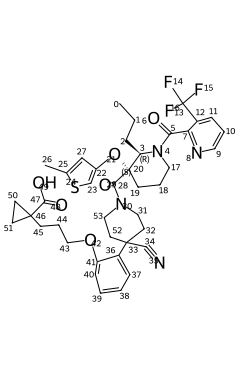 CCC[C@H]1N(C(=O)c2ncccc2C(F)(F)F)CCC[C@@]1(Oc1csc(C)c1)C(=O)N1CCC(C#N)(c2ccccc2OCCCC2(C(=O)O)CC2)CC1